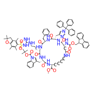 COC(=O)[C@@H]1CCCCNC(=O)C[C@@H](NC(=O)OCC2c3ccccc3-c3ccccc32)C(=O)N[C@@H](Cc2cn(C(c3ccccc3)(c3ccccc3)c3ccccc3)cn2)C(=O)N[C@H](Cc2ccccc2)C(=O)N[C@@H](CCCNC(=N)NS(=O)(=O)c2c(C)c(C)c3c(c2C)CC(C)(C)O3)C(=O)N[C@@H](Cc2cn(C(=O)OC(C)(C)C)c3ccccc23)C(=O)N1